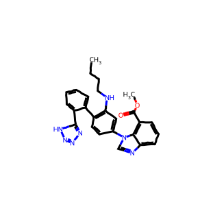 CCCCNc1cc(-n2cnc3cccc(C(=O)OC)c32)ccc1-c1ccccc1-c1nnn[nH]1